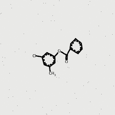 Cc1cc(Cl)cc(OC(=O)c2ccccc2)c1